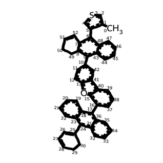 Cc1cscc1-c1c2c(c(-c3ccc4oc5c(-c6c7ccccc7c(C7=CC=CCC7)c7ccccc67)cccc5c4c3)c3ccccc13)CCC=C2